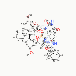 COc1ccc(C(CC23COC(C2OP(OCCC#N)N(C(C)C)C(C)C)[C@H](n2cc(CCNC(=O)C45CC6CC(CC(C6)C4)C5)c(=O)[nH]c2=O)O3)(c2ccccc2)c2ccc(OC)cc2)cc1